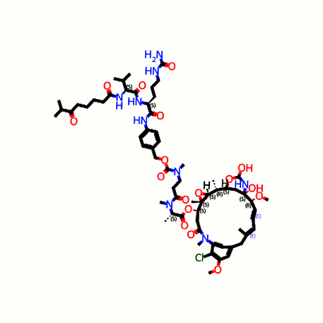 COc1cc2cc(c1Cl)N(C)C(=O)C[C@H](OC(=O)[C@H](C)N(C)C(=O)CCN(C)C(=O)OCc1ccc(NC(=O)[C@H](CCCNC(N)=O)NC(=O)[C@@H](NC(=O)CCCCC(=O)C(C)C)C(C)C)cc1)[C@]1(C)O[C@H]1[C@H](C)[C@@H]1C[C@@](O)(NC(O)O1)[C@H](OC)/C=C/C=C(\C)C2